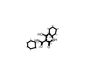 O=C(NC1CCCCC1)c1c(O)c2c([nH]c1=O)CCCC2